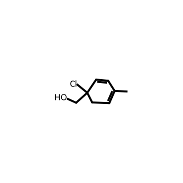 CC1=CCC(Cl)(CO)C=C1